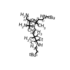 CCC(C)(NCCC(C)(C)C)C(C)(C)CCN(C(C)(C)CCNC(C)(C)C)C(C)(N)C(C)CN